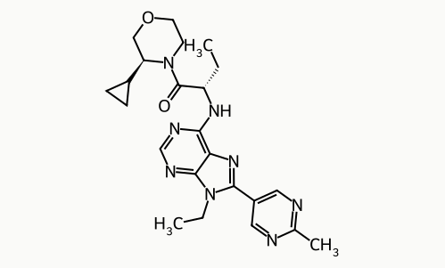 CC[C@H](Nc1ncnc2c1nc(-c1cnc(C)nc1)n2CC)C(=O)N1CCOC[C@@H]1C1CC1